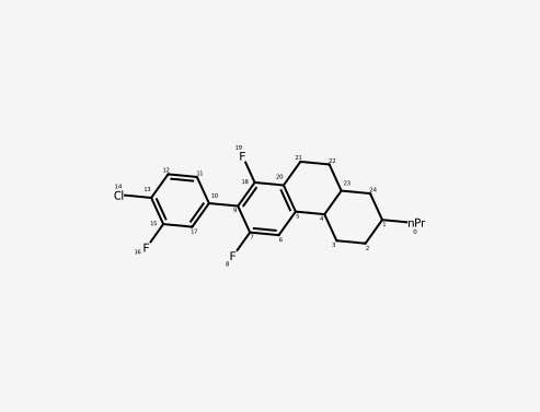 CCCC1CCC2c3cc(F)c(-c4ccc(Cl)c(F)c4)c(F)c3CCC2C1